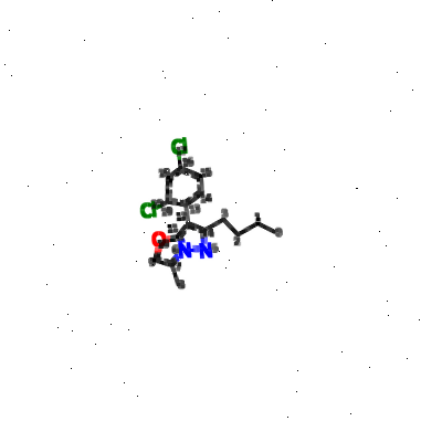 CCCCc1nn2c(C)coc2c1-c1ccc(Cl)cc1Cl